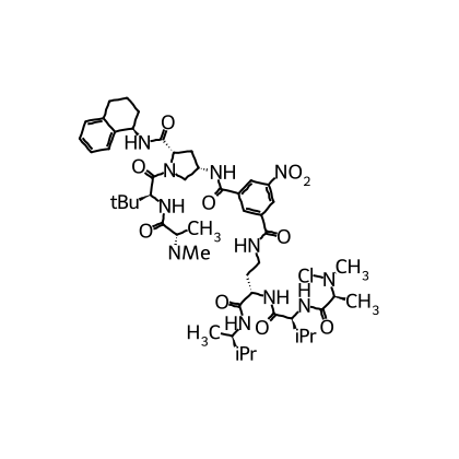 CN[C@@H](C)C(=O)N[C@H](C(=O)N1C[C@@H](NC(=O)c2cc(C(=O)NCC[C@H](NC(=O)[C@@H](NC(=O)[C@H](C)N(C)Cl)C(C)C)C(=O)N[C@H](C)C(C)C)cc([N+](=O)[O-])c2)C[C@H]1C(=O)N[C@@H]1CCCc2ccccc21)C(C)(C)C